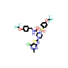 Cc1nc(Cl)c2sc(N3CCN(S(=O)(=O)c4ccc(OC(F)(F)F)cc4)[C@@H](C(=O)NCc4ccc(OC(F)F)cc4)C3)nc2n1